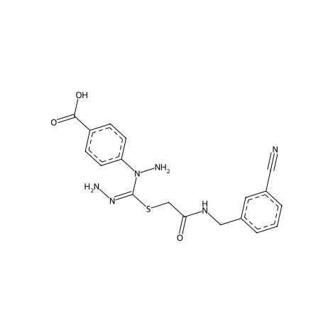 N#Cc1cccc(CNC(=O)CS/C(=N/N)N(N)c2ccc(C(=O)O)cc2)c1